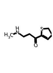 CNCCC(=O)C1=CCCS1